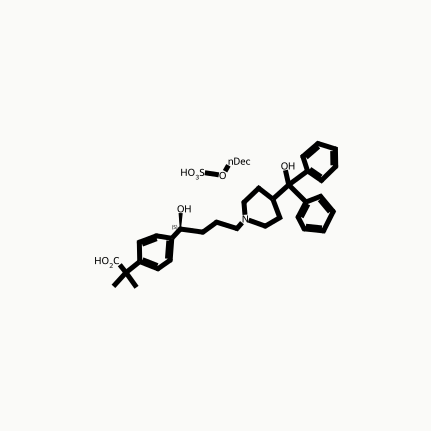 CC(C)(C(=O)O)c1ccc([C@@H](O)CCCN2CCC(C(O)(c3ccccc3)c3ccccc3)CC2)cc1.CCCCCCCCCCOS(=O)(=O)O